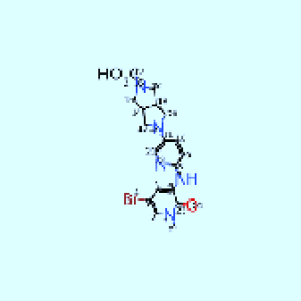 Cn1cc(Br)cc(Nc2ccc(N3CC4CN(C(=O)O)CC4C3)cn2)c1=O